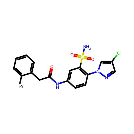 CC(C)c1ccccc1CC(=O)Nc1ccc(-n2cc(Cl)cn2)c(S(N)(=O)=O)c1